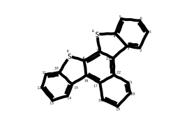 c1ccc2c(c1)sc1c3sc4ccccc4c3c3ccccc3c21